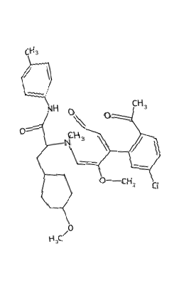 COC(=C/N(C)C(CC1CCC(OC)CC1)C(=O)Nc1ccc(C)cc1)/C(=C\C=O)c1cc(Cl)ccc1C(C)=O